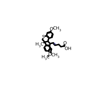 CCCCC(/C=C/CCC(=O)O)C1c2ccc(OC)cc2SCC1(C)c1ccc(OC)cc1